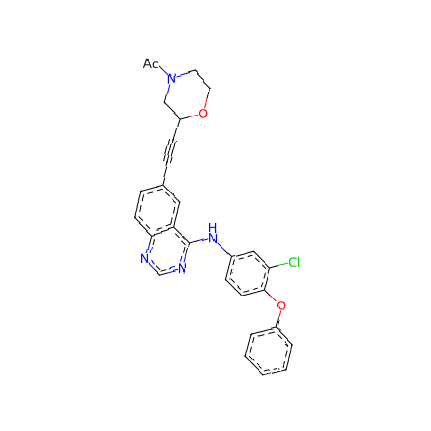 CC(=O)N1CCOC(C#Cc2ccc3ncnc(Nc4ccc(Oc5ccccc5)c(Cl)c4)c3c2)C1